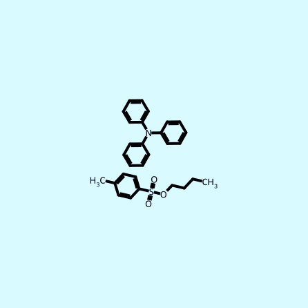 CCCCOS(=O)(=O)c1ccc(C)cc1.c1ccc(N(c2ccccc2)c2ccccc2)cc1